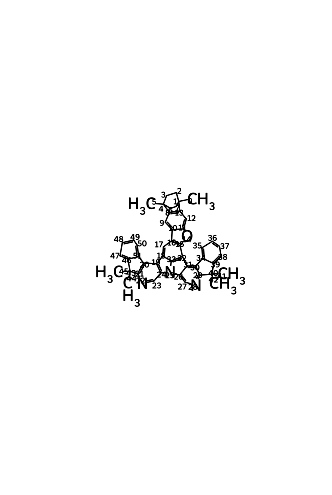 CC12CCC(C)(CC1)c1cc3c(cc12)oc1c3cc2c3c4c(ncc3n3c5cnc6c(c5c1c23)-c1ccccc1C6(C)C)C(C)(C)c1ccccc1-4